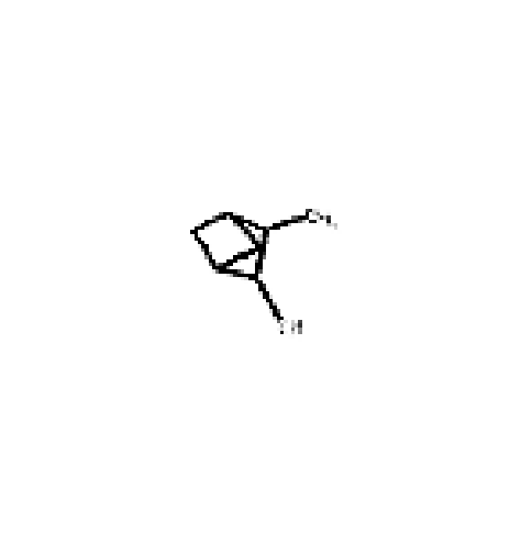 CC1C2CC(C2)C1C